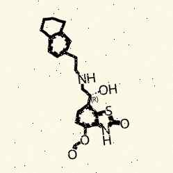 O=COc1ccc([C@@H](O)CNCCc2ccc3c(c2)CCCC3)c2sc(=O)[nH]c12